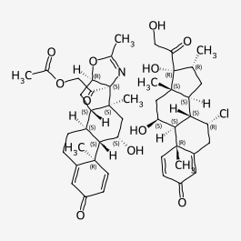 CC(=O)OCC(=O)[C@@]12N=C(C)O[C@@H]1C[C@H]1[C@@H]3CCC4=CC(=O)C=C[C@]4(C)[C@H]3[C@@H](O)C[C@@]12C.C[C@@H]1C[C@H]2[C@H]3[C@H]([C@@H](O)C[C@]2(C)[C@@]1(O)C(=O)CO)[C@@]1(C)C=CC(=O)C=C1C[C@H]3Cl